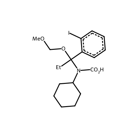 CCC(OCOC)(c1ccccc1I)N(C(=O)O)C1CCCCC1